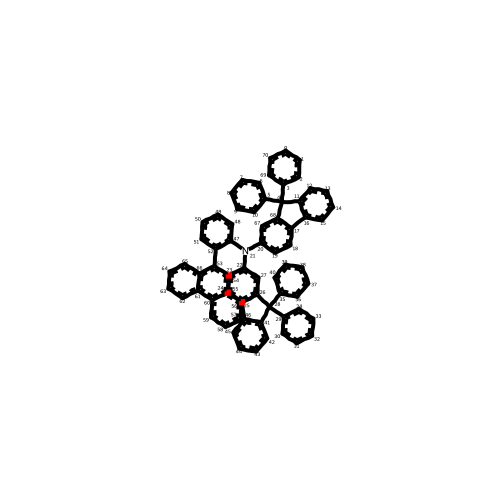 c1ccc(C2(c3ccccc3)c3ccccc3-c3ccc(N(c4ccc5c(c4)C(c4ccccc4)(c4ccccc4)c4ccccc4-5)c4ccccc4-c4cc5ccccc5c5ccccc45)cc32)cc1